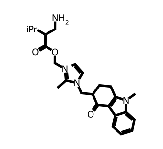 Cc1n(CC2CCc3c(c4ccccc4n3C)C2=O)cc[n+]1COC(=O)C(CN)C(C)C